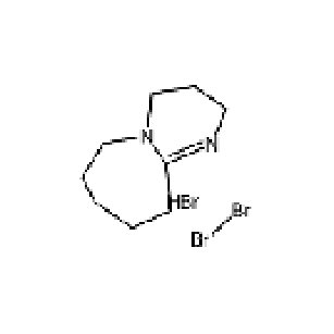 Br.BrBr.C1CCC2=NCCCN2CC1